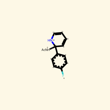 CC(=O)NC1(c2ccc(F)cc2)C=[C]C=CN1